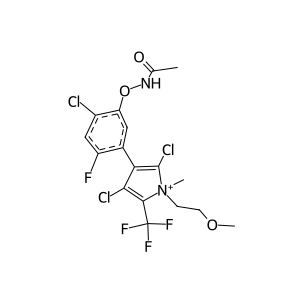 COCC[N+]1(C)C(Cl)=C(c2cc(ONC(C)=O)c(Cl)cc2F)C(Cl)=C1C(F)(F)F